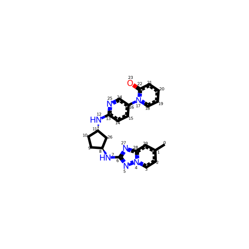 Cc1ccn2nc(N[C@H]3CC[C@H](Nc4ccc(-n5ccccc5=O)cn4)C3)nc2c1